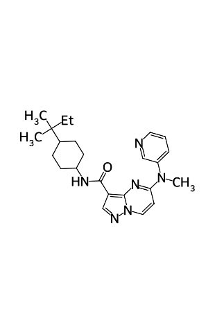 CCC(C)(C)C1CCC(NC(=O)c2cnn3ccc(N(C)c4cccnc4)nc23)CC1